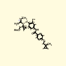 C/N=C(/N)S[C@@]1(COC)C[C@H]1c1cc(NC(=O)c2cnc(OCC3(C)CC3)cn2)cc(F)c1F